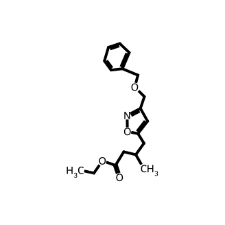 CCOC(=O)CC(C)Cc1cc(COCc2ccccc2)no1